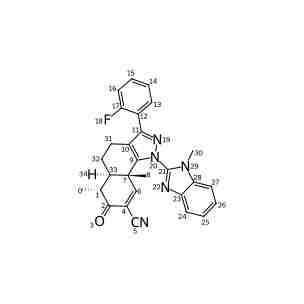 C[C@H]1C(=O)C(C#N)=C[C@@]2(C)c3c(c(-c4ccccc4F)nn3-c3nc4ccccc4n3C)CC[C@H]12